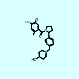 Cc1cc(O)c(Cl)cc1C(=O)N1CCCC1c1ccc(CN2CCC(O)CC2)cc1